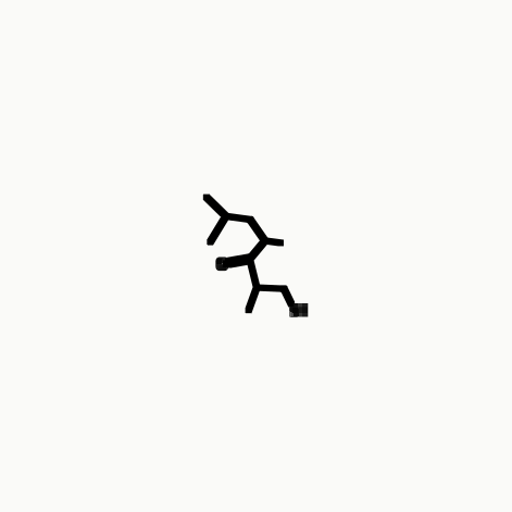 CC(C)CC(C)C(=O)C(C)CS